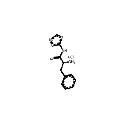 Cl.N[C@@H](Cc1ccccc1)C(=O)Nc1nncs1